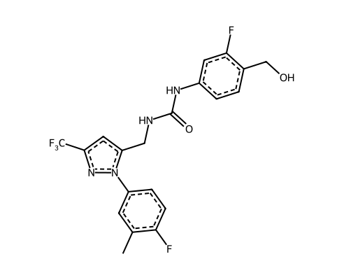 Cc1cc(-n2nc(C(F)(F)F)cc2CNC(=O)Nc2ccc(CO)c(F)c2)ccc1F